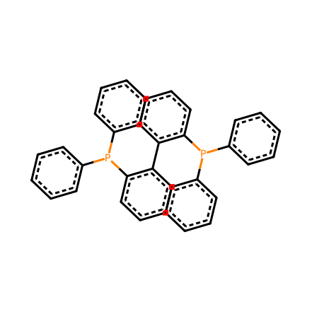 c1ccc(P(c2ccccc2)c2ccccc2-c2ccccc2P(c2ccccc2)c2ccccc2)cc1